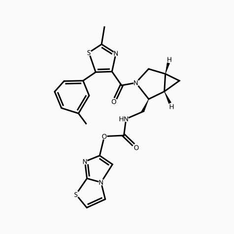 Cc1cccc(-c2sc(C)nc2C(=O)N2C[C@@H]3C[C@@H]3[C@H]2CNC(=O)Oc2cn3ccsc3n2)c1